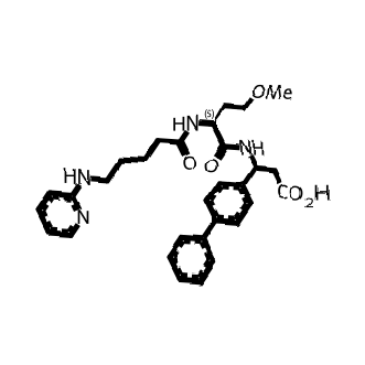 COCC[C@H](NC(=O)CCCCNc1ccccn1)C(=O)NC(CC(=O)O)c1ccc(-c2ccccc2)cc1